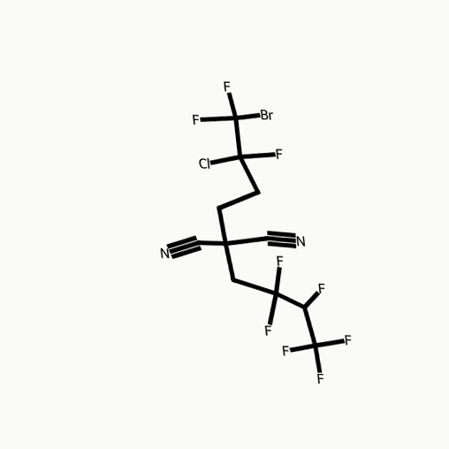 N#CC(C#N)(CCC(F)(Cl)C(F)(F)Br)CC(F)(F)C(F)C(F)(F)F